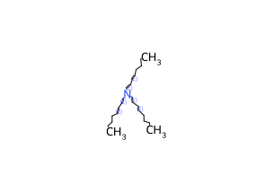 CCCC/C=C/C=C/N(/C=C/C=C/CCCC)/C=C/C=C/CCCC